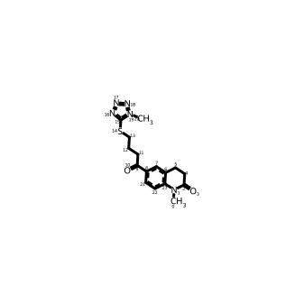 CN1C(=O)CCc2cc(C(=O)CCCSc3nnnn3C)ccc21